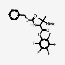 CNC(C)(C)C(NC(=O)OCc1ccccc1)C(=O)Oc1c(F)c(F)c(F)c(F)c1F